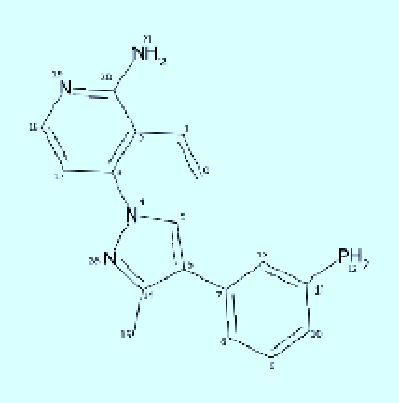 C=Cc1c(-n2cc(-c3cccc(P)c3)c(C)n2)ccnc1N